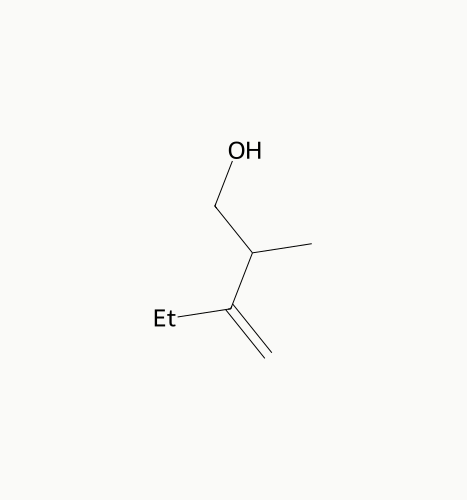 C=C(CC)C(C)CO